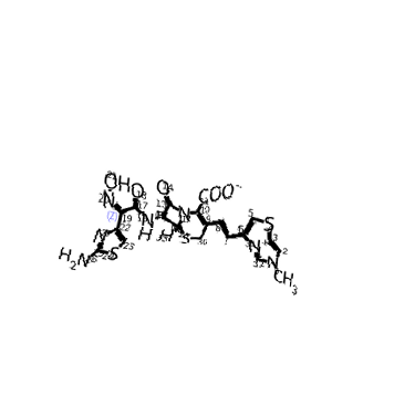 Cn1cc2scc(C=CC3=C(C(=O)[O-])N4C(=O)[C@@H](NC(=O)/C(=N\O)c5csc(N)n5)[C@H]4SC3)[n+]2c1